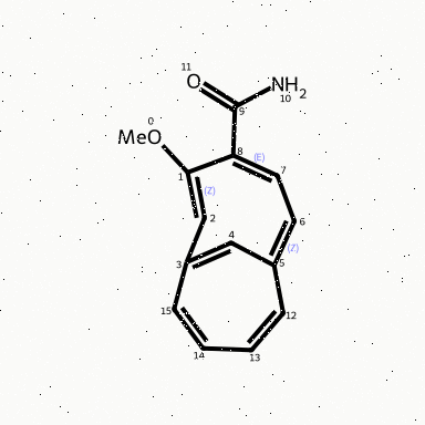 COC1=C\C2=CC(=C/C=C\1C(N)=O)\C=CC=C2